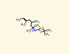 C/C=C(\C)CC(C)CC(C)(C)NCOC(C)(C)C